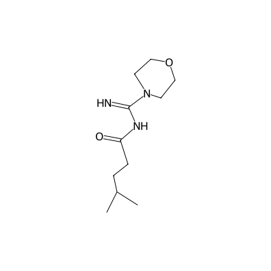 CC(C)CCC(=O)NC(=N)N1CCOCC1